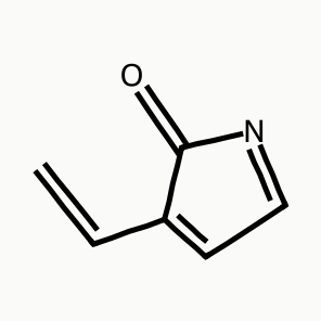 C=CC1=CC=NC1=O